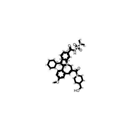 COc1ccc2c(c1)C=C(C(=O)N1CCC(CO)CC1)Cn1c-2c(C2CCCCC2)c2ccc(C(=O)NS(=O)(=O)N(C)C)cc21